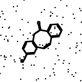 O=C1Cc2ccc(Br)cc2C=Cc2ccccc21